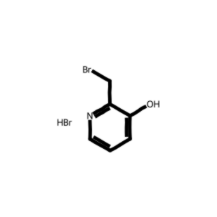 Br.Oc1cccnc1CBr